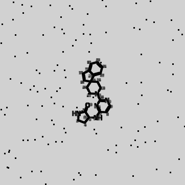 O=C1NCC[C@@H]1Nc1ccnc(N2CCC3(C=Cc4ccccc43)CC2)n1